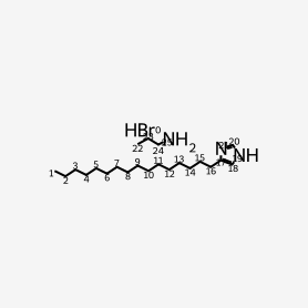 Br.CCCCCCCCCCCCCCCCc1c[nH]cn1.CCCN